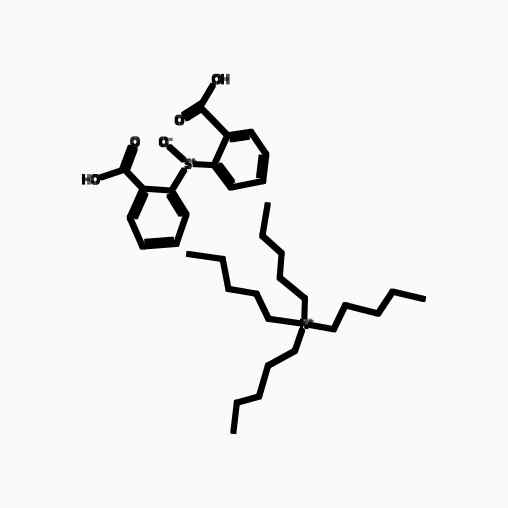 CCCCC[N+](CCCCC)(CCCCC)CCCCC.O=C(O)c1ccccc1[S+]([O-])c1ccccc1C(=O)O